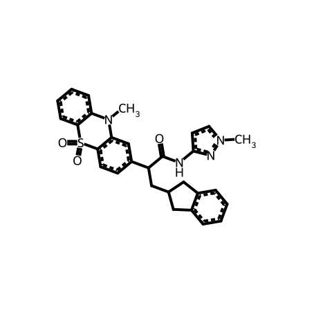 CN1c2ccccc2S(=O)(=O)c2ccc(C(CC3Cc4ccccc4C3)C(=O)Nc3ccn(C)n3)cc21